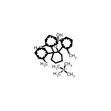 C[N+](C)(C)C.Cc1ccccc1C1(OB([O-])O)CCCCC1(c1ccccc1C)c1ccccc1C